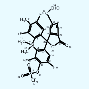 Cc1c(F)cc2c(c1F)[Si](C)(C)c1c(cc(F)c(OS(=O)(=O)C(F)(F)F)c1F)C21OC(=O)c2ccc(OC=O)cc21